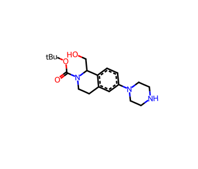 CC(C)(C)OC(=O)N1CCc2cc(N3CCNCC3)ccc2C1CO